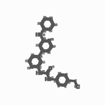 O=C(Nc1ccc(CCl)cc1)Nc1cc(-c2ccnc(Nc3ccccc3)c2)ccn1